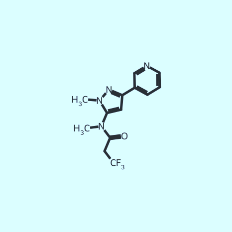 CN(C(=O)CC(F)(F)F)c1cc(-c2cccnc2)nn1C